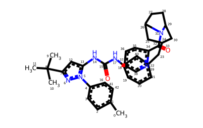 Cc1ccc(-n2nc(C(C)(C)C)cc2NC(=O)Nc2cccc(CC3CC4CCC(C3)N4C(=O)c3ccccn3)c2)cc1